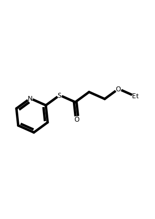 CCOCCC(=O)Sc1ccccn1